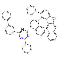 c1ccc(-c2cccc(-c3nc(-c4ccccc4)nc(-c4ccc(-c5c(-c6ccccc6)ccc6oc7cc8ccccc8cc7c56)c5ccccc45)n3)c2)cc1